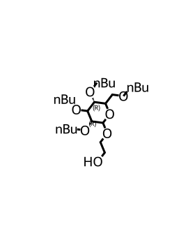 CCCCOCC1OC(OCCO)[C@H](OCCCC)C(OCCCC)[C@@H]1OCCCC